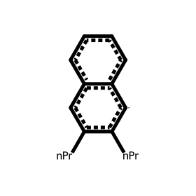 CCCc1[c]c2ccccc2cc1CCC